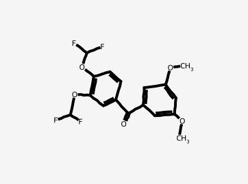 COc1cc(OC)cc(C(=O)c2ccc(OC(F)F)c(OC(F)F)c2)c1